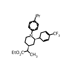 CCOC(=O)C(C)[C@H]1CCN(c2ccc(C(C)C)cc2)[C@@H](C2C=CC(C(F)(F)F)=CC2)C1